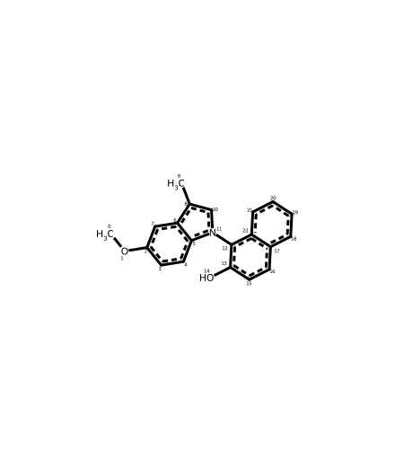 COc1ccc2c(c1)c(C)cn2-c1c(O)ccc2ccccc12